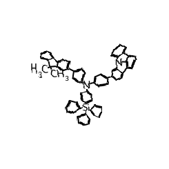 CC1(C)c2ccccc2-c2ccc(-c3ccc(N(c4ccc(-c5ccc6c7cccc8c9ccccc9n(c6c5)c87)cc4)c4ccc([Si](c5ccccc5)(c5ccccc5)c5ccccc5)cc4)cc3)cc21